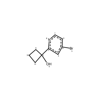 OC1(c2cc(Br)ccn2)CCC1